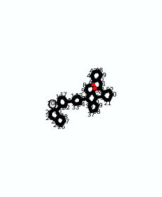 c1ccc(-c2c3ccccc3c(-c3ccc(-c4ccc5oc6ccc7ccccc7c6c5c4)cc3)c3ccccc23)c(-c2ccc3ccccc3c2)c1